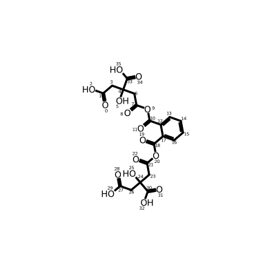 O=C(O)CC(O)(CC(=O)OC(=O)c1ccccc1C(=O)OC(=O)CC(O)(CC(=O)O)C(=O)O)C(=O)O